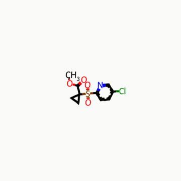 COC(=O)C1(S(=O)(=O)c2ccc(Cl)cn2)CC1